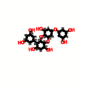 Oc1cc(O)cc(Oc2cc(O)c3c(c2)Oc2c(O)cc(O)c(-c4cc(O)cc(O)c4)c2O3)c1